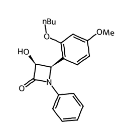 CCCCOc1cc(OC)ccc1[C@@H]1[C@H](O)C(=O)N1c1ccccc1